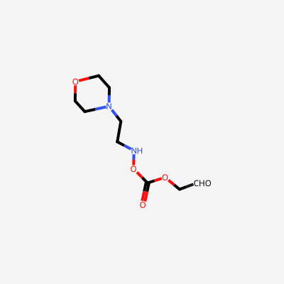 O=CCOC(=O)ONCCN1CCOCC1